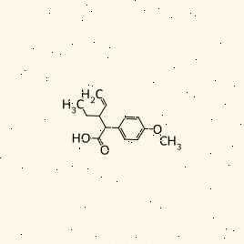 C=CC(CC)C(C(=O)O)c1ccc(OC)cc1